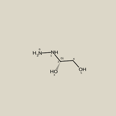 NN[C@@H](O)CO